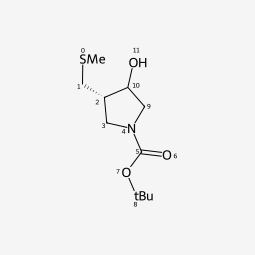 CSC[C@H]1CN(C(=O)OC(C)(C)C)CC1O